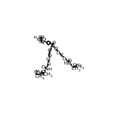 COC(C)(C)CCNC(=O)CCOCCOCCOCCOCCN(CCOCCOCCOCCOCCC(=O)NCCC(C)(C)OCCC(C)(C)C=O)C(=O)c1ccc(-c2nnc(S(C)(=O)=O)o2)cc1